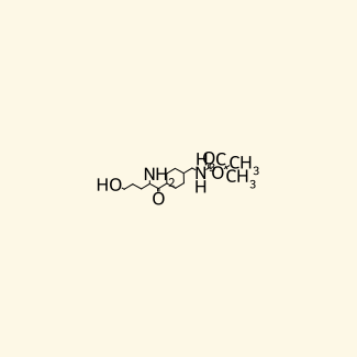 CC(C)(C)OC(=O)NCC1CCC(C(=O)C(N)CCCO)CC1